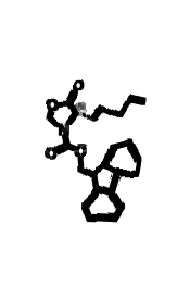 C=CCCC[C@H]1C(=O)OCN1C(=O)OCC1c2ccccc2-c2ccccc21